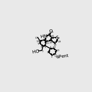 CCC[C@@H](C)c1ccc(-c2c(CO)cc(C)c3[nH]c(=O)c4sccc4c23)cc1